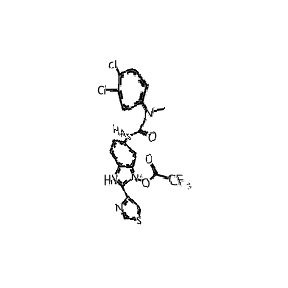 CN(C(=O)[AsH]c1ccc2[nH]c(-c3cscn3)[n+](OC(=O)C(F)(F)F)c2c1)c1ccc(Cl)c(Cl)c1